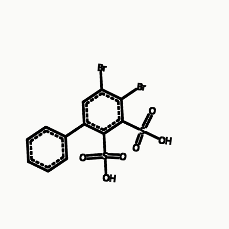 O=S(=O)(O)c1c(-c2ccccc2)cc(Br)c(Br)c1S(=O)(=O)O